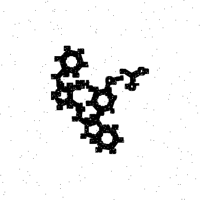 CC(=O)[O-].COc1ccc(C2=C(/C=N/c3cnn(Cc4ccccc4)c3N)Cc3cccc[n+]32)cc1